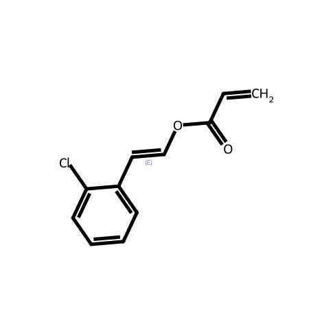 C=CC(=O)O/C=C/c1ccccc1Cl